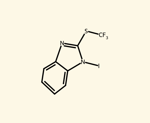 FC(F)(F)Sc1nc2ccccc2n1I